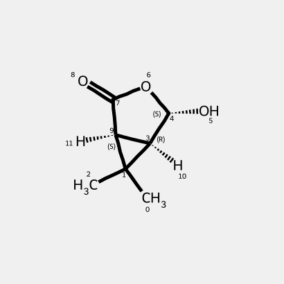 CC1(C)[C@@H]2[C@@H](O)OC(=O)[C@@H]21